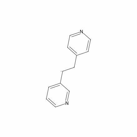 [CH](Cc1ccncc1)c1cccnc1